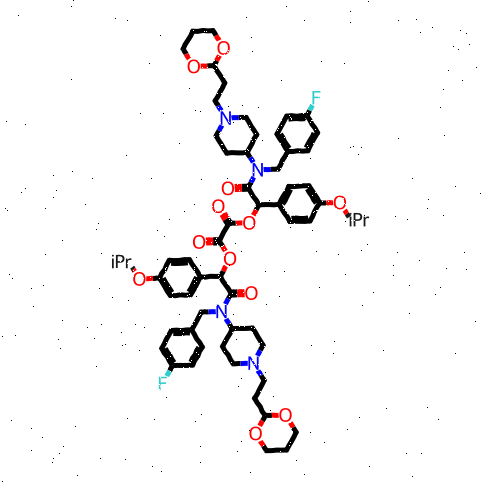 CC(C)Oc1ccc(C(OC(=O)C(=O)OC(C(=O)N(Cc2ccc(F)cc2)C2CCN(CCC3OCCCO3)CC2)c2ccc(OC(C)C)cc2)C(=O)N(Cc2ccc(F)cc2)C2CCN(CCC3OCCCO3)CC2)cc1